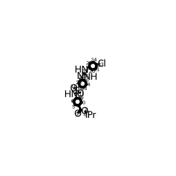 CC(C)OC(=O)c1ccc(NS(=O)(=O)c2ccc3[nH]c(Nc4ccc(Cl)cc4)nc3c2)cc1